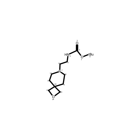 CC(C)(C)OC(=O)NCCN1CCC2(CC1)COC2